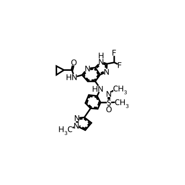 CN=S(C)(=O)c1cc(-c2ccn(C)n2)ccc1Nc1cc(NC(=O)C2CC2)nc2[nH]c(C(F)F)nc12